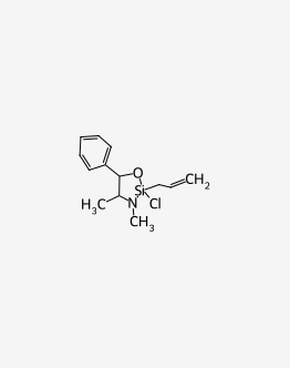 C=CC[Si]1(Cl)OC(c2ccccc2)C(C)N1C